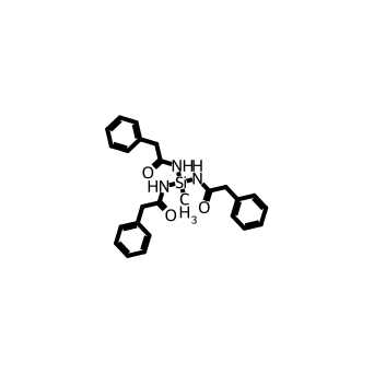 C[Si](NC(=O)Cc1ccccc1)(NC(=O)Cc1ccccc1)NC(=O)Cc1ccccc1